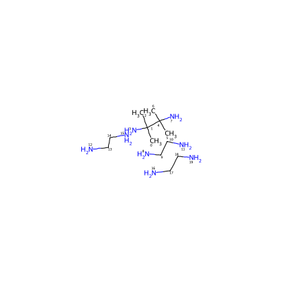 CC(C)(N)C(C)(C)N.NCCN.NCCN.NCCN